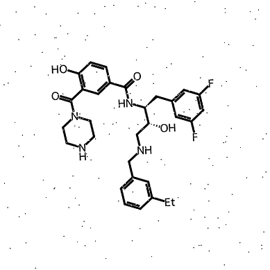 CCc1cccc(CNC[C@@H](O)[C@H](Cc2cc(F)cc(F)c2)NC(=O)c2ccc(O)c(C(=O)N3CCNCC3)c2)c1